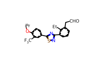 CCc1c(CC=O)cccc1-c1nsc(-c2ccc(OC(C)C)c(C(F)(F)F)c2)n1